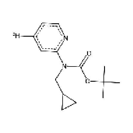 [2H]c1ccnc(N(CC2CC2)C(=O)OC(C)(C)C)c1